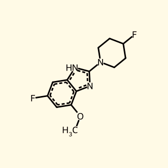 COc1cc(F)cc2[nH]c(N3CCC(F)CC3)nc12